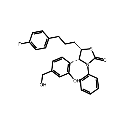 O=C1S[C@@H](CCCc2ccc(F)cc2)[C@@H](c2ccc(CO)cc2O)N1c1ccccc1